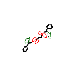 O=C(CCC(=O)OCC(Cl)c1ccccc1)OCC(Cl)c1ccccc1